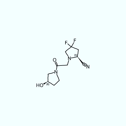 N#C[C@@H]1CC(F)(F)CN1CC(=O)N1CC[C@@H](O)C1